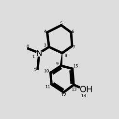 CN(C)C1CCCC[C@H]1c1cccc(O)c1